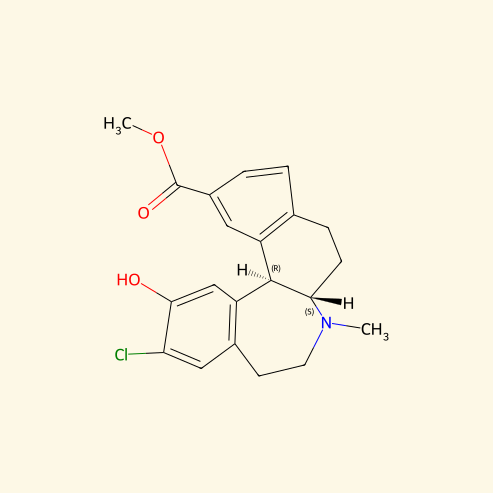 COC(=O)c1ccc2c(c1)[C@@H]1c3cc(O)c(Cl)cc3CCN(C)[C@H]1CC2